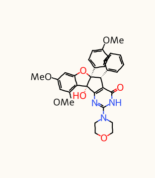 COc1ccc([C@@]23Oc4cc(OC)cc(OC)c4[C@]2(O)c2nc(N4CCOCC4)[nH]c(=O)c2[C@H]3c2ccccc2)cc1